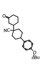 CCCCOc1ccc(C2CCC(C#N)(C3CCCC(=O)C3)CC2)cc1